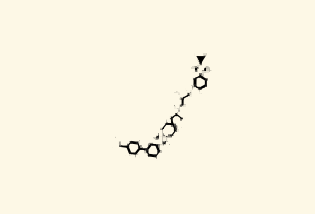 NCc1ccc(-c2cccc(S(=O)(=O)N3CCC4(CC3)C[C@@H](NCC(O)COc3cccc(S(=O)(=O)C5CC5)c3)CO4)c2)cc1